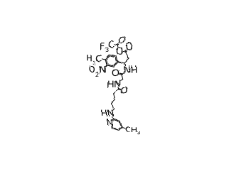 Cc1ccnc(NCCCCC(=O)NCC(=O)NC(CC(=O)OC(=O)C(F)(F)F)c2ccc(C)c([N+](=O)[O-])c2)c1